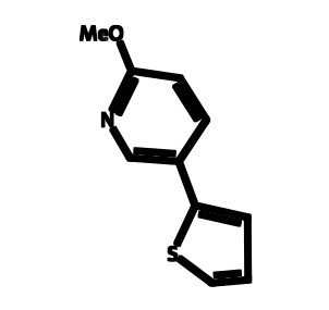 COc1ccc(-c2cccs2)cn1